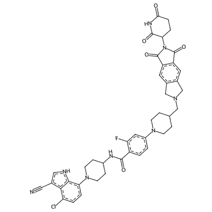 N#Cc1c[nH]c2c(N3CCC(NC(=O)c4ccc(N5CCC(CN6Cc7cc8c(cc7C6)C(=O)N(C6CCC(=O)NC6=O)C8=O)CC5)cc4F)CC3)ccc(Cl)c12